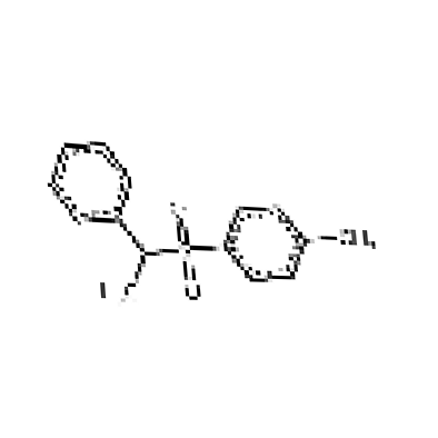 [CH2]C(c1ccccc1)S(=O)(=O)c1ccc(C)cc1